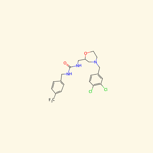 O=C(NCc1ccc(C(F)(F)F)cc1)NCC1CN(Cc2ccc(Cl)c(Cl)c2)CCO1